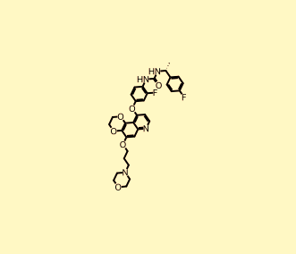 C[C@@H](NC(=O)Nc1ccc(Oc2ccnc3cc(OCCCN4CCOCC4)c4c(c23)OCCO4)cc1F)c1ccc(F)cc1